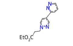 CCOC(=O)CC[n+]1ccc(-c2cccnn2)cn1